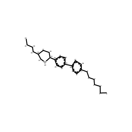 CCCCCCCc1ccc(-c2ccc(C3CCC(CCCC)CO3)cc2)cc1